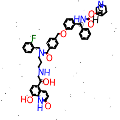 O=C(N[C@@H](c1ccccc1)c1cccc(OCc2ccc(C(=O)N(CCCNC[C@H](O)c3ccc(O)c4[nH]c(=O)ccc34)Cc3ccccc3F)cc2)c1)O[C@H]1CN2CCC1CC2